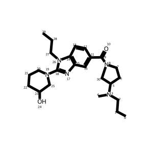 CCCN(C)C1CCN(C(=O)c2ccc3c(c2)nc(N2CCCC(O)C2)n3CCC)C1